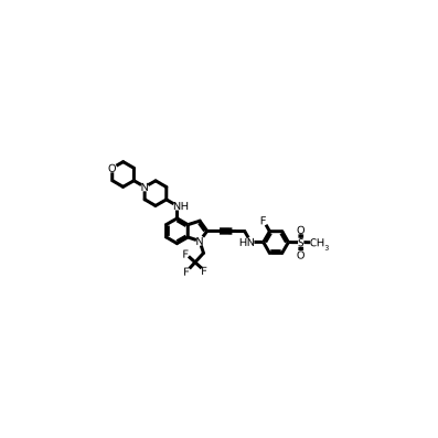 CS(=O)(=O)c1ccc(NCC#Cc2cc3c(NC4CCN(C5CCOCC5)CC4)cccc3n2CC(F)(F)F)c(F)c1